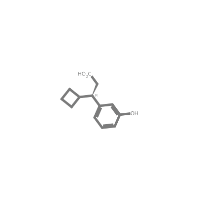 O=C(O)C[C@@H](c1cccc(O)c1)C1CCC1